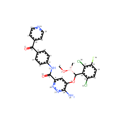 COB(C)C(Oc1cc(C(=O)Nc2ccc(C(=O)c3ccncc3)cc2)nnc1N)c1c(Cl)ccc(F)c1Cl